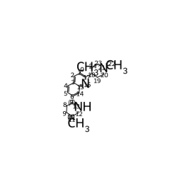 Cc1cc2ccc([C@H]3CC[C@H](C)CN3)cc2nc1C1CCN(C)CC1